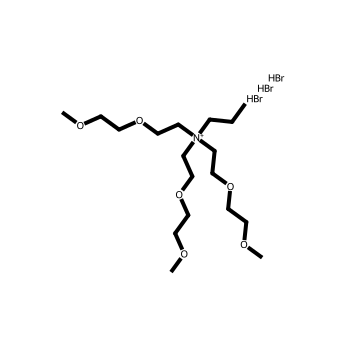 Br.Br.Br.CCC[N+](CCOCCOC)(CCOCCOC)CCOCCOC